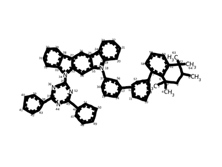 CC1CC(C)(C)c2c(-c3cccc(-c4cccc(-n5c6ccccc6c6cc7c8ccccc8n(-c8nc(-c9ccccc9)nc(-c9ccccc9)n8)c7cc65)c4)c3)cccc2C1(C)C